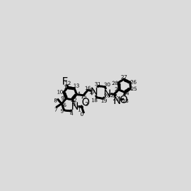 CC(=O)N1CCC(C)(C)c2cc(F)cc(CCN3CCN(c4noc5ccccc45)CC3)c21